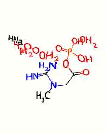 CN(CC(=O)OP(=O)(O)O)C(=N)N.O.O.O.O.[NaH]